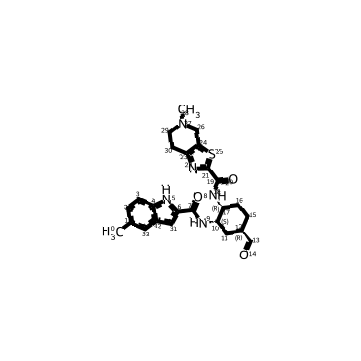 Cc1ccc2[nH]c(C(=O)N[C@H]3C[C@H](C=O)CC[C@H]3NC(=O)c3nc4c(s3)CN(C)CC4)cc2c1